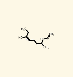 C=NNC(C)CC/C=C(/O)CC